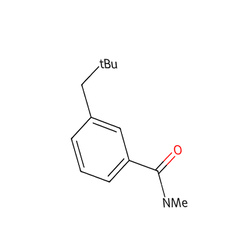 CNC(=O)c1cccc(CC(C)(C)C)c1